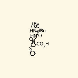 CC[C@H](C)[C@H](NC(=O)OC(C)(C)C)C(=O)NCC(=O)N1CC(Sc2ccccc2)CC1C(=O)O